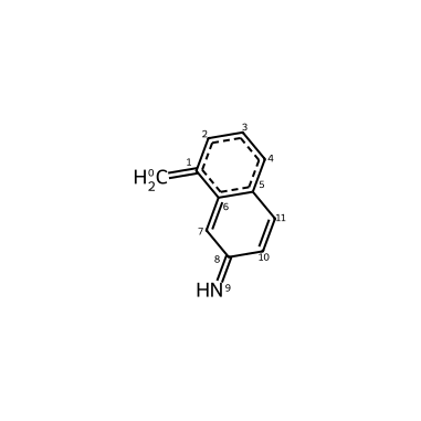 C=c1cccc2c1=CC(=N)C=C2